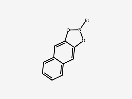 CCB1Oc2cc3ccccc3cc2O1